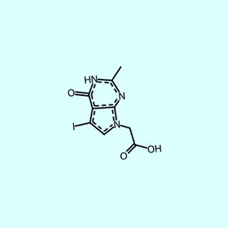 Cc1nc2c(c(I)cn2CC(=O)O)c(=O)[nH]1